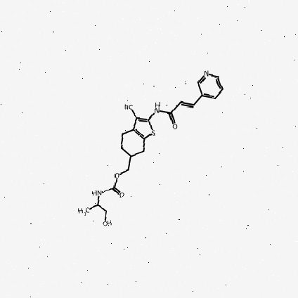 CC(CO)NC(=O)OCC1CCc2c(sc(NC(=O)/C=C/c3cccnc3)c2C#N)C1